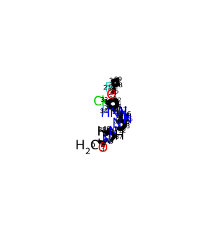 C=CC(=O)N1C[C@@H]2C[C@H]1CN2c1ccc2ncnc(Nc3ccc(OCC4(F)CCC4)c(Cl)c3F)c2n1